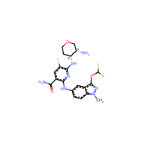 Cn1nc(OC(F)F)c2cc(Nc3nc(N[C@@H]4CCOC[C@@H]4N)c(F)cc3C(N)=O)ccc21